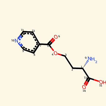 N[C@@H](CCOC(=O)c1ccncc1)C(=O)O